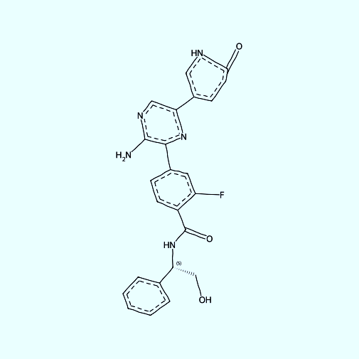 Nc1ncc(-c2ccc(=O)[nH]c2)nc1-c1ccc(C(=O)N[C@H](CO)c2ccccc2)c(F)c1